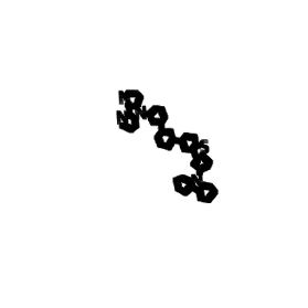 c1cc(-c2cccc(-n3c4cccnc4c4ncccc43)c2)cc(-c2ccc3sc4ccc(-n5c6ccccc6c6ccccc65)cc4c3c2)c1